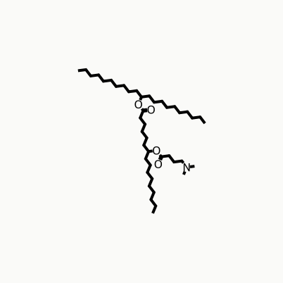 CCCCCCCCCCC(CCCCCCCCCC)OC(=O)CCCCCC(CCCCCCCCC)OC(=O)CCCN(C)C